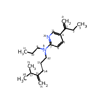 C=C(CC)c1ccc(N(CCC)CCCC(=C)C(C)C)nc1